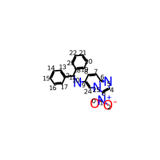 O=[N+]([O-])c1cnc2ccc(N=C(c3ccccc3)c3ccccc3)cn12